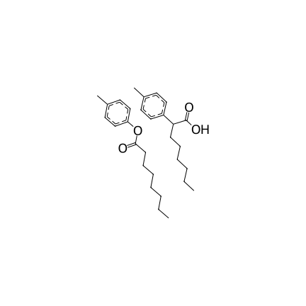 CCCCCCC(C(=O)O)c1ccc(C)cc1.CCCCCCCC(=O)Oc1ccc(C)cc1